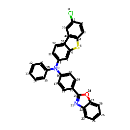 Clc1ccc2sc3cc(N(c4ccccc4)c4ccc(-c5nc6ccccc6o5)cc4)ccc3c2c1